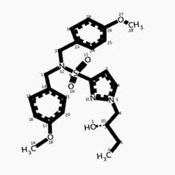 CC[C@H](O)Cn1ccc(S(=O)(=O)N(Cc2ccc(OC)cc2)Cc2ccc(OC)cc2)n1